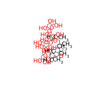 C[C@H](CC[C@@H](O[C@@H]1O[C@H](CO[C@H]2O[C@H](CO)[C@@H](O)C[C@H]2O)[C@@H](O)[C@H](O)[C@H]1O[C@@H]1O[C@H](CO)[C@@H](O)[C@H](O)[C@H]1O)C(C)(C)O)C1CC[C@@]2(C)C3C(=O)C=C4C(CC[C@H](O[C@@H]5O[C@H](CO)C[C@H](O)[C@H]5O)C4(C)C)[C@]3(C)CC[C@]12C